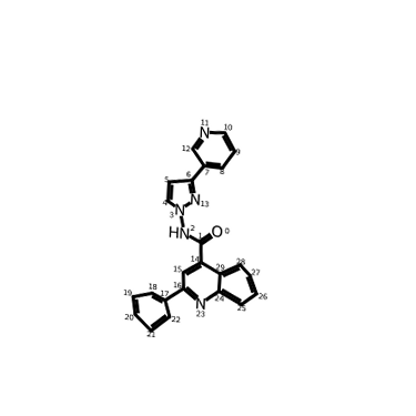 O=C(Nn1ccc(-c2cccnc2)n1)c1cc(-c2ccccc2)nc2ccccc12